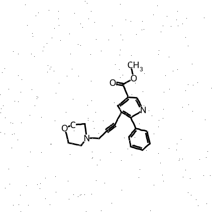 COC(=O)c1cnc(-c2ccccc2)c(C#CCN2CCOCC2)c1